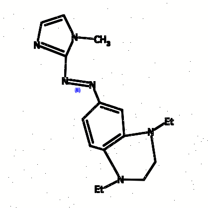 CCN1CCN(CC)c2cc(/N=N/c3nccn3C)ccc21